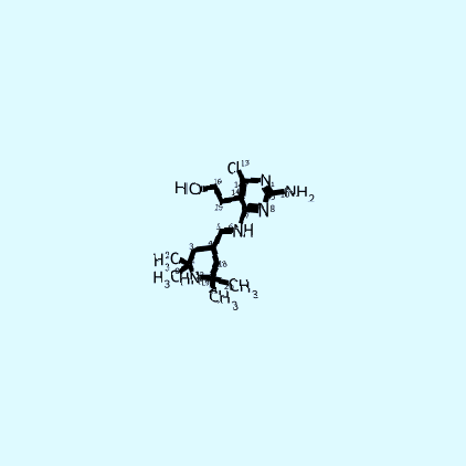 CC1(C)CC(CNc2nc(N)nc(Cl)c2CCO)CC(C)(C)N1